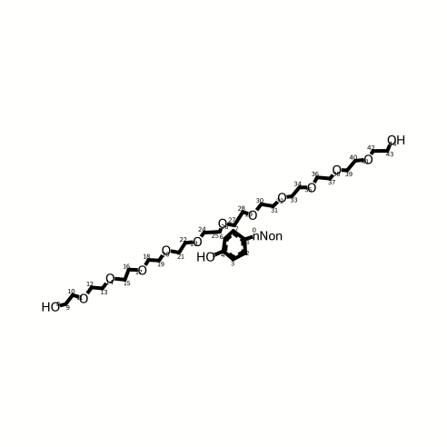 CCCCCCCCCc1ccc(O)cc1.OCCOCCOCCOCCOCCOCCOCCOCCOCCOCCOCCOCCO